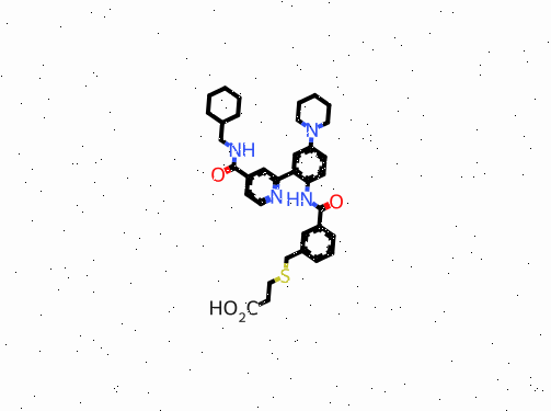 O=C(O)CCSCc1cccc(C(=O)Nc2ccc(N3CCCCC3)cc2-c2cc(C(=O)NCC3CCCCC3)ccn2)c1